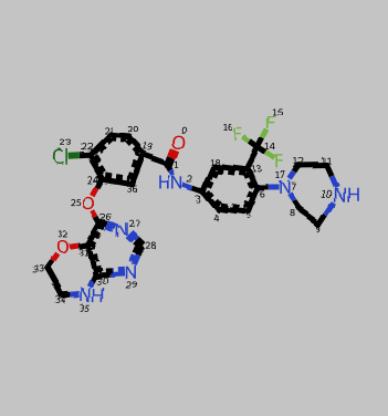 O=C(Nc1ccc(N2CCNCC2)c(C(F)(F)F)c1)c1ccc(Cl)c(Oc2ncnc3c2OCCN3)c1